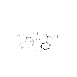 O=C(O)c1ccccc1O[C@@H]1[C@@H](O)[C@@H](O)[C@@H](CO)O[C@H]1O